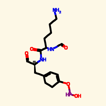 NCCCCC(NC=O)C(=O)N[C@H](C=O)CC1=CC=C(OPO)CC1